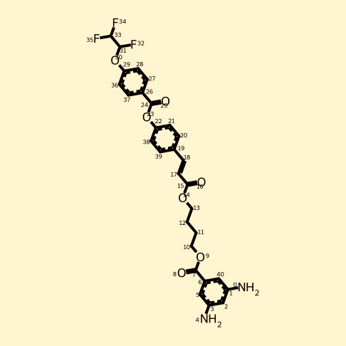 Nc1cc(N)cc(C(=O)OCCCCOC(=O)/C=C/c2ccc(OC(=O)c3ccc(OC(F)C(F)F)cc3)cc2)c1